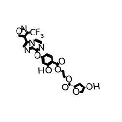 O=C(OCCOC(=O)[C@@H]1C[C@@H](O)CO1)c1ccc(Oc2nccn3c(-c4conc4C(F)(F)F)cnc23)cc1O